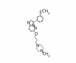 CSc1cccc(-c2cnc3ccc(OCCCN4CCN(C)CC4)nn23)c1